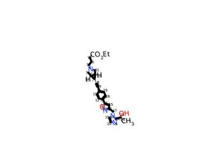 CCOC(=O)CCCN1C[C@@H]2[C@@H](C#Cc3ccc(-c4cc(Cn5ccnc5[C@H](C)O)no4)cc3)[C@@H]2C1